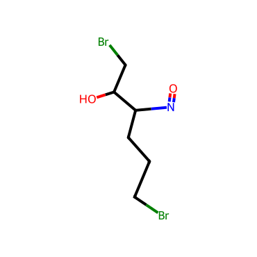 O=NC(CCCBr)C(O)CBr